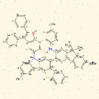 CC(C)(C)c1ccc(N2B3c4cc5oc(-c6ccccc6)c(-c6ccccc6)c5cc4-n4c5ccc(C(C)(C)C)cc5c5c6sc7ccccc7c6c(c3c54)-c3cc4c(cc32)C(C)(C)c2cc(C(C)(C)C)ccc2-4)cc1